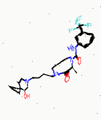 C[C@H]1C(=O)N(CCCCN2CCC3(CC3)[C@H](O)C2)CCN1C(=O)Nc1cccc(C(F)(F)F)c1